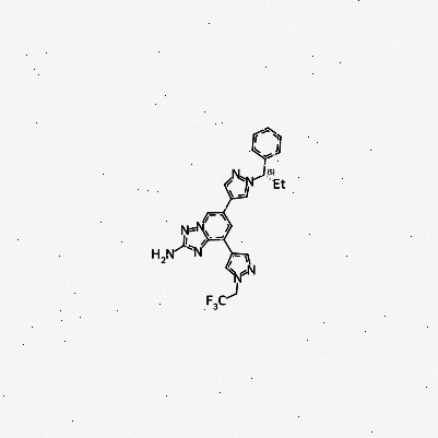 CC[C@@H](c1ccccc1)n1cc(-c2cc(-c3cnn(CC(F)(F)F)c3)c3nc(N)nn3c2)cn1